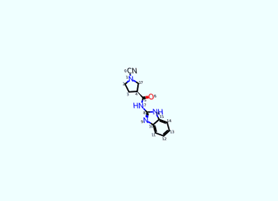 N#CN1CC[C@H](C(=O)Nc2nc3ccccc3[nH]2)C1